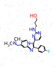 CN(C)Cc1ccn2c(-c3ccnc(NCCCO)n3)c(-c3ccc(F)cc3)nc2c1